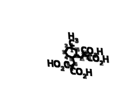 CC1CCCC(CC(C(=O)O)C(=O)O)C(CC(C(=O)O)C(=O)O)C1